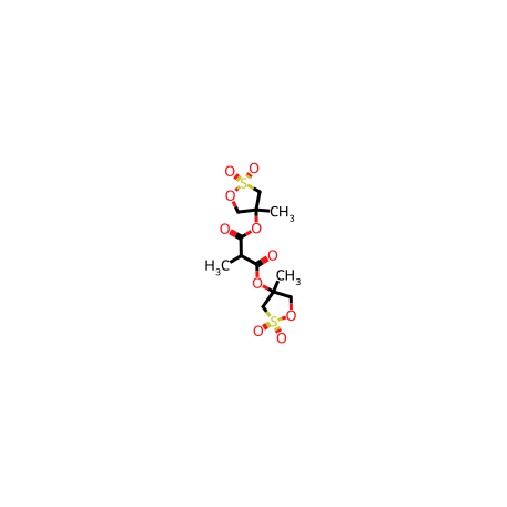 CC(C(=O)OC1(C)COS(=O)(=O)C1)C(=O)OC1(C)COS(=O)(=O)C1